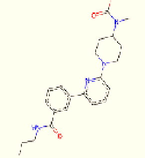 CCCNC(=O)c1cccc(-c2cccc(N3CCC(N(C)C(=O)O)CC3)n2)c1